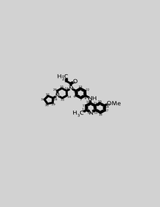 C=CC(=O)N(c1ccc(Nc2cc(C)nc3ccc(OC)cc23)cc1)C1CCN(C2CCCC2)CC1